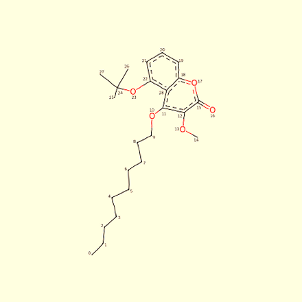 CCCCCCCCCCOc1c(OC)c(=O)oc2cccc(OC(C)(C)C)c12